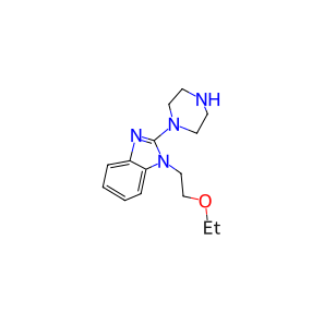 CCOCCn1c(N2CCNCC2)nc2ccccc21